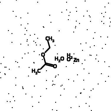 CCOC(C)=O.O.O.[Zn]